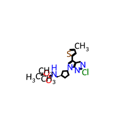 Cc1csc(-c2cn([C@H]3CC[C@@H](CNC(=O)OC(C)(C)C)C3)c3nc(Cl)ncc23)c1